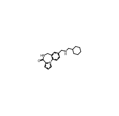 O=C1NCc2cc(CNCC3CCCCC3)ccc2-n2cccc21